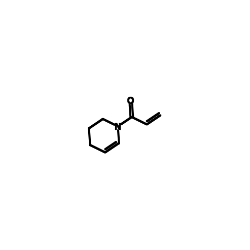 C=CC(=O)N1C=CCCC1